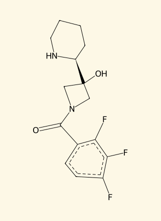 O=C(c1ccc(F)c(F)c1F)N1CC(O)([C@@H]2CCCCN2)C1